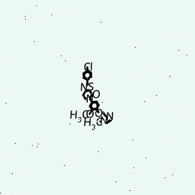 COc1cc(N2CCc3nc(-c4ccc(Cl)cc4)sc3C2=O)ccc1OCc1nccn1C